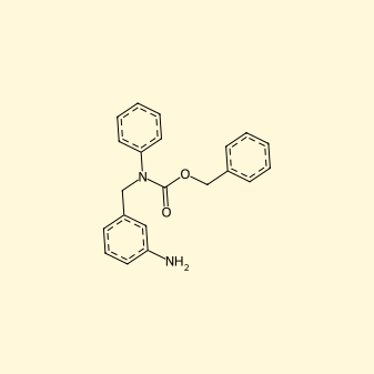 Nc1cccc(CN(C(=O)OCc2ccccc2)c2ccccc2)c1